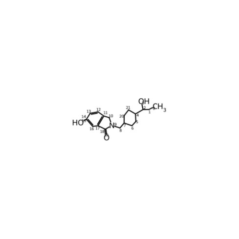 CCC(O)C1CCC(CN2Cc3ccc(O)cc3C2=O)CC1